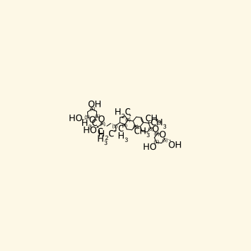 C=C[C@H](CC[C@@H](O[C@H]1C[C@@H](O)C[C@@H](CO)O1)C(C)(C)O)C1CC[C@@]2(C=C)C3CC=C4C(CC[C@H](O[C@H]5C[C@@H](O)C[C@@H](CO)O5)C4(C)C)[C@]3(C)CC[C@]12C